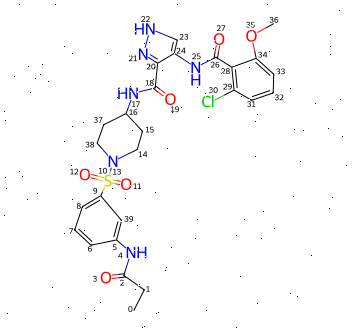 CCC(=O)Nc1cccc(S(=O)(=O)N2CCC(NC(=O)c3n[nH]cc3NC(=O)c3c(Cl)cccc3OC)CC2)c1